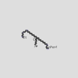 CC/C=C\C/C=C\C/C=C\CCCCCCCCC(CCCCCCCC/C=C\C/C=C\CCCCC)C(=O)CCCCN(C)C